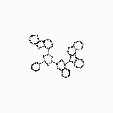 c1ccc(-c2nc(-c3cc(-n4c5ccccc5c5c6ccccc6ccc54)c4ccccc4c3)nc(-c3cccc4c3oc3ccccc34)n2)cc1